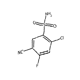 N#Cc1cc(S(N)(=O)=O)c(Cl)cc1F